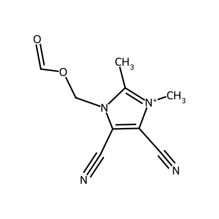 Cc1n(COC=O)c(C#N)c(C#N)[n+]1C